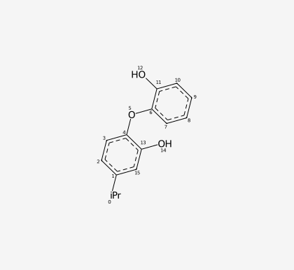 CC(C)c1ccc(Oc2ccccc2O)c(O)c1